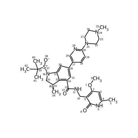 COc1cc(C)[nH]c(=O)c1CNC(=O)c1cc(-c2ccc(N3CCN(C)CC3)nc2)cc2c1[C@@H](C)CN2[S+]([O-])C(C)(C)C